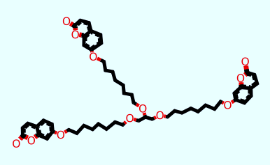 O=c1ccc2ccc(OCCCCCCCCOCC(COCCCCCCCCOc3ccc4ccc(=O)oc4c3)OCCCCCCCCOc3ccc4ccc(=O)oc4c3)cc2o1